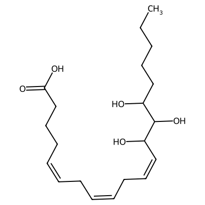 CCCCCC(O)C(O)C(O)/C=C\C/C=C\C/C=C\CCCC(=O)O